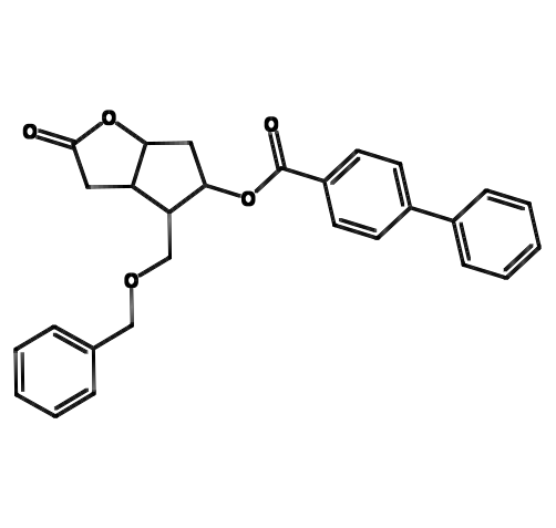 O=C1CC2C(CC(OC(=O)c3ccc(-c4ccccc4)cc3)C2COCc2ccccc2)O1